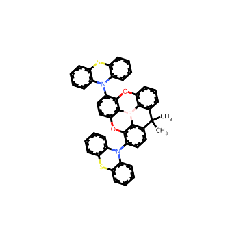 CC1(C)c2cccc3c2B2c4c(ccc(N5c6ccccc6Sc6ccccc65)c4O3)Oc3c(N4c5ccccc5Sc5ccccc54)ccc1c32